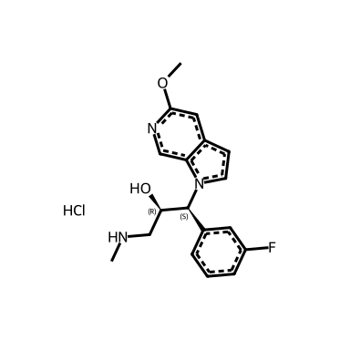 CNC[C@@H](O)[C@H](c1cccc(F)c1)n1ccc2cc(OC)ncc21.Cl